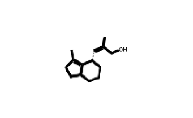 CC1=C2C(CCC[C@H]2/C=C(/C)CO)CC1